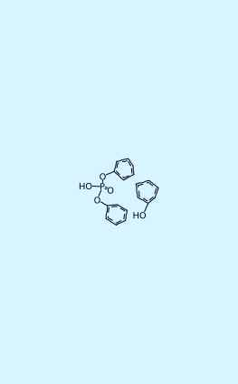 O=P(O)(Oc1ccccc1)Oc1ccccc1.Oc1ccccc1